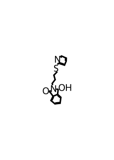 O=C1c2ccccc2C(O)N1CCCCSc1ccccn1